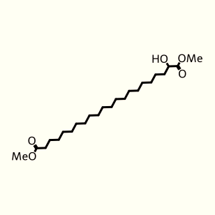 COC(=O)CCCCCCCCCCCCCCCCCCCC(O)C(=O)OC